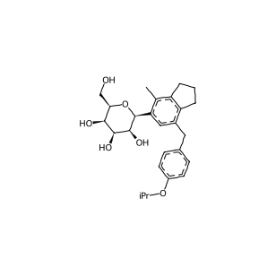 Cc1c([C@@H]2O[C@H](CO)[C@H](O)[C@H](O)[C@@H]2O)cc(Cc2ccc(OC(C)C)cc2)c2c1CCC2